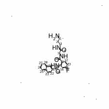 NCCCNC(=O)CNC(=O)c1ccc(F)cc1NC(=O)c1ccc2ccccc2c1